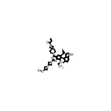 C=CC(=O)N1CC2(CCN(c3nc(N4CC(N5CC(OCC)C5)C4)nc4c(OCC(F)(F)F)c(-c5c(C)ccc6[nH]ncc56)c(C5CC5)cc34)CC2)C1